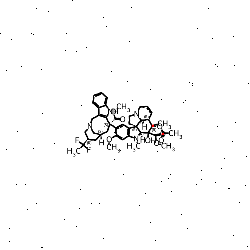 CC[C@]12C=CCN3CC[C@@]4(c5cc([C@@]6(C(=O)OC)C[C@@H]7C[C@@H](C(C)(F)F)CN(Cc8c6[nH]c6ccccc86)C7)c(OC)cc5N(C)[C@H]4C(O)(C(=O)OC)[C@@H]1OC(C)=O)[C@@H]32